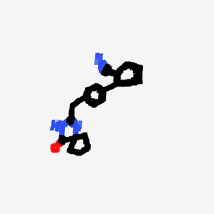 N#Cc1ccccc1-c1ccc(CC2=NC3(CCCC3)C(=O)N2)cc1